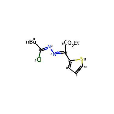 CCCCC(Cl)=NN=C(C(=O)OCC)c1cccs1